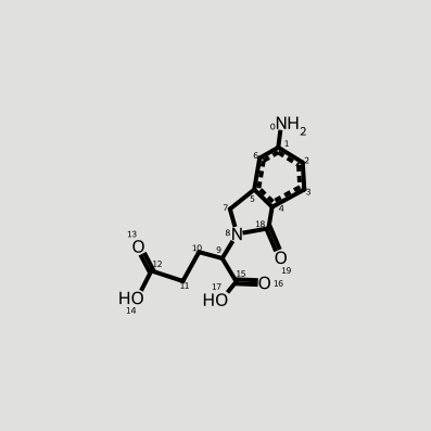 Nc1ccc2c(c1)CN(C(CCC(=O)O)C(=O)O)C2=O